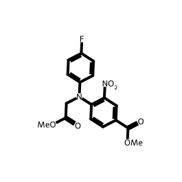 COC(=O)CN(c1ccc(F)cc1)c1ccc(C(=O)OC)cc1[N+](=O)[O-]